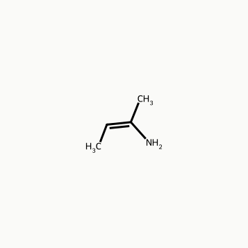 CC=C(C)N